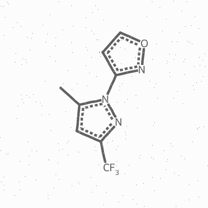 Cc1cc(C(F)(F)F)nn1-c1[c]con1